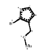 CCCCOCc1ccsc1Br